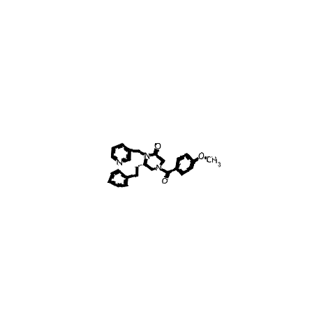 COc1ccc(C(=O)N2CC(=O)N(Cc3cccnc3)[C@@H](CCc3ccccc3)C2)cc1